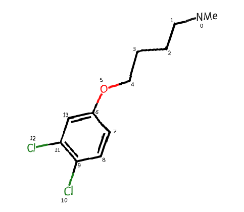 CNCCCCOc1ccc(Cl)c(Cl)c1